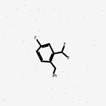 CC(C)Cc1ccc(F)cc1C(F)F